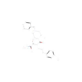 CCOc1ccc(CCC[C@@H](C(=O)N2CCN(CC3=CCCC=C3)C[C@@H]2C)[C@H](O)C(=O)NO)cc1